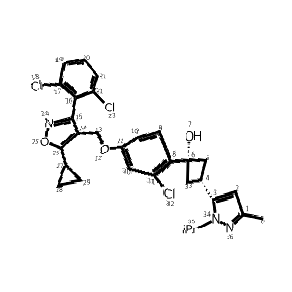 Cc1cc([C@H]2C[C@](O)(c3ccc(OCc4c(-c5c(Cl)cccc5Cl)noc4C4CC4)cc3Cl)C2)n(C(C)C)n1